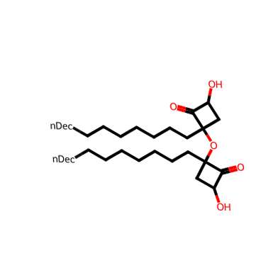 CCCCCCCCCCCCCCCCCC1(OC2(CCCCCCCCCCCCCCCCC)CC(O)C2=O)CC(O)C1=O